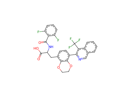 O=C(NC(Cc1ccc(-c2ncc3ccccc3c2C(F)(F)F)c2c1OCCO2)C(=O)O)c1c(F)cccc1F